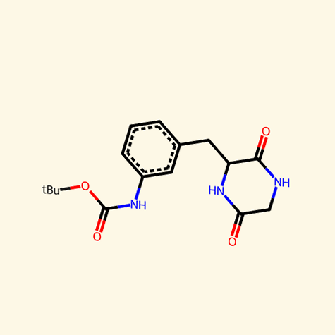 CC(C)(C)OC(=O)Nc1cccc(CC2NC(=O)CNC2=O)c1